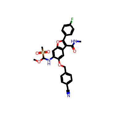 CNC(=O)c1c(-c2ccc(F)cc2)oc2cc(NC(OC)S(C)(=O)=O)c(OCc3ccc(C#N)cc3)cc12